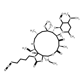 C=C[C@H]1NC[C@H](C)C[C@@](C)(OC)[C@H](O[C@@H]2OC(C)CC(N(C)C)C2P=O)[C@@H](C)C(=O)[C@@H](C)C(=O)O[C@H](CC)[C@@]2(C)OC(=O)N(CCCCN=[N+]=[N-])[C@H]12